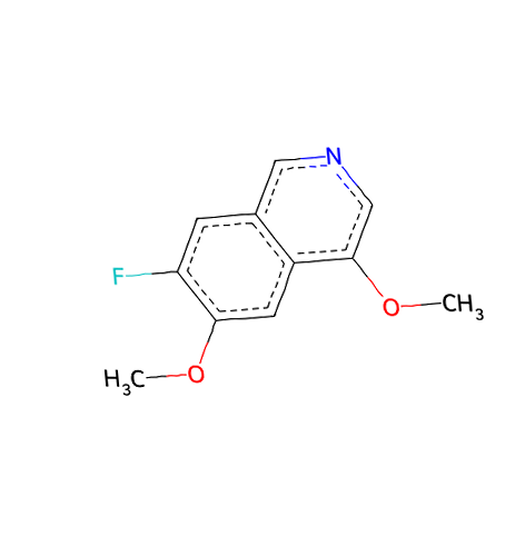 COc1cc2c(OC)cncc2cc1F